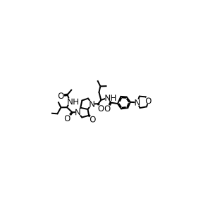 CCC(C)C(NC(C)=O)C(=O)N1CC(=O)C2C1CCN2C(=O)C(CC(C)C)NC(=O)c1ccc(N2CCOCC2)cc1